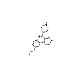 CCCc1ccc2c(c1)N1C=CC(C)N=C1C(N1CCN(C)CC1)=N2